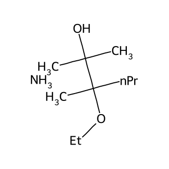 CCCC(C)(OCC)C(C)(C)O.N